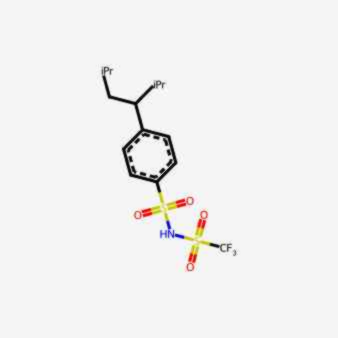 CC(C)CC(c1ccc(S(=O)(=O)NS(=O)(=O)C(F)(F)F)cc1)C(C)C